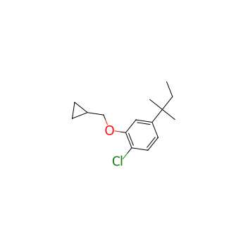 CCC(C)(C)c1ccc(Cl)c(OCC2CC2)c1